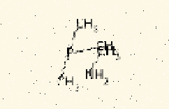 CCCCCCCCP(CCCCCCCC)CCCCCCCC.CCCCCCCN